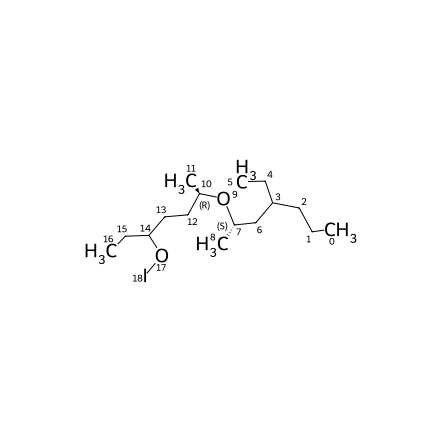 CCCC(CC)C[C@H](C)O[C@H](C)CCC(CC)OI